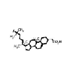 C[C@H](CCCC(C)(C)F)[C@H]1CCC2C3CC=C4C[C@@H](CC(=O)O)CC[C@]4(C)C3CC[C@@]21C